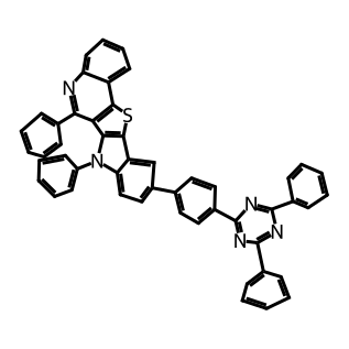 c1ccc(-c2nc(-c3ccccc3)nc(-c3ccc(-c4ccc5c(c4)c4sc6c7ccccc7nc(-c7ccccc7)c6c4n5-c4ccccc4)cc3)n2)cc1